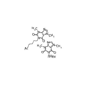 CC(=O)CCCCn1c(=O)c2c(ncn2C)n(C)c1=O.CCCCCCn1c(=O)c2c(ncn2C)n(C)c1=O